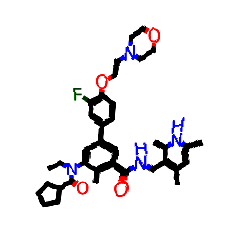 C=C1NC(C)=CC(C)=C1CNC(=O)c1cc(-c2ccc(OCCN3CCOCC3)c(F)c2)cc(N(CC)C(=O)C2CCCC2)c1C